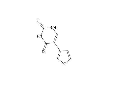 O=c1[nH]cc(-c2ccsc2)c(=O)[nH]1